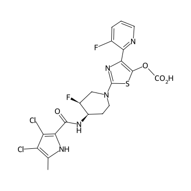 Cc1[nH]c(C(=O)N[C@@H]2CCN(c3nc(-c4ncccc4F)c(OC(=O)O)s3)C[C@@H]2F)c(Cl)c1Cl